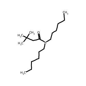 CCCCCCN(CCCCCC)C(=O)CC(C)(C)C